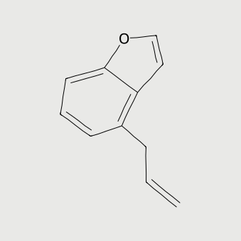 C=CCc1cccc2occc12